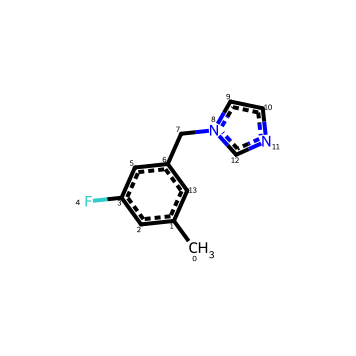 Cc1cc(F)cc(Cn2ccnc2)c1